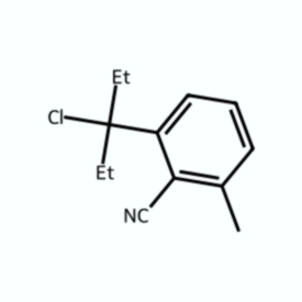 CCC(Cl)(CC)c1cccc(C)c1C#N